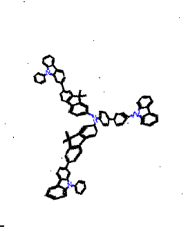 CC1(C)c2cc(-c3ccc4c5ccccc5n(-c5ccccc5)c4c3)ccc2-c2ccc(N(c3ccc(-c4ccc(-n5c6ccccc6c6ccccc65)cc4)cc3)c3ccc4c(c3)C(C)(C)c3cc(-c5ccc6c7ccccc7n(-c7ccccc7)c6c5)ccc3-4)cc21